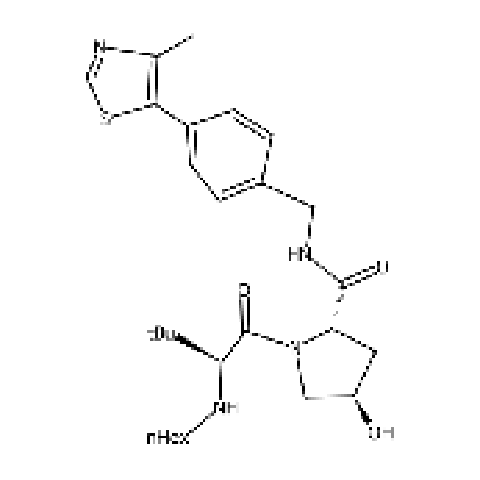 CCCCCCN[C@H](C(=O)N1C[C@H](O)C[C@H]1C(=O)NCc1ccc(-c2scnc2C)cc1)C(C)(C)C